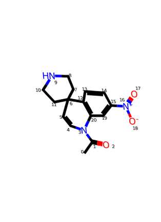 CC(=O)N1C=CC2(CCNCC2)c2ccc([N+](=O)[O-])cc21